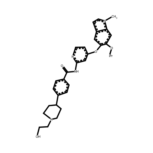 CC(C)Oc1cc2c(ccn2C)cc1Oc1ccnc(NC(=O)c2ccc(C3CCN(CCO)CC3)cc2)c1